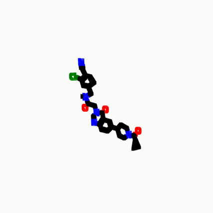 CN(Cc1ccc(C#N)c(Cl)c1)C(=O)Cn1cnc2ccc(C3CCN(C(=O)C4CC4)CC3)cc2c1=O